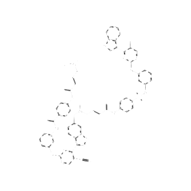 CN(C)C/C=C/C(=O)Nc1ccc(C(=O)Nc2cccc(Nc3ncc(C#N)c(-c4c[nH]c5cc(CN(C)C/C=C/C(=O)Nc6ccc(S(=O)(=O)Nc7cccc(Nc8ncc(Cl)c(-c9c[nH]c%10ccccc9%10)n8)c7)cc6)ccc45)n3)c2)cc1